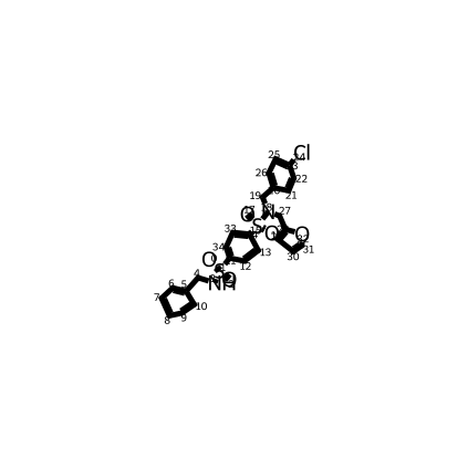 O=S(=O)(NCc1ccccc1)c1ccc(S(=O)(=O)N(Cc2ccc(Cl)cc2)Cc2ccco2)cc1